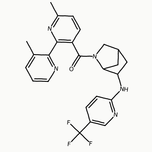 Cc1ccc(C(=O)N2CC3CC(Nc4ccc(C(F)(F)F)cn4)C2C3)c(-c2ncccc2C)n1